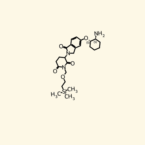 C[Si](C)(C)CCOCN1C(=O)CCC(N2Cc3cc(O[C@H]4CCCC[C@@H]4N)ccc3C2=O)C1=O